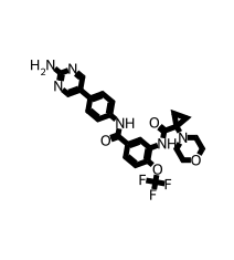 Nc1ncc(-c2ccc(NC(=O)c3ccc(OC(F)(F)F)c(NC(=O)C4(N5CCOCC5)CC4)c3)cc2)cn1